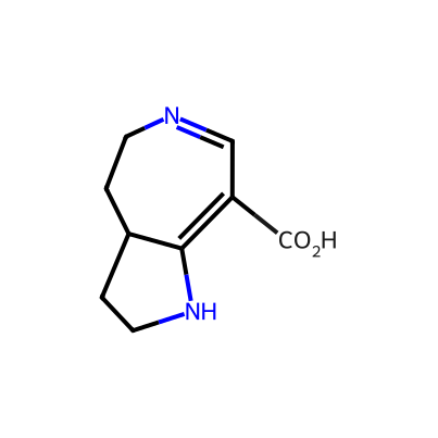 O=C(O)C1=C2NCCC2CCN=C1